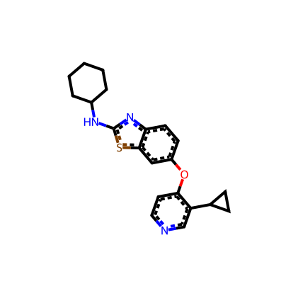 c1cc(Oc2ccc3nc(NC4CCCCC4)sc3c2)c(C2CC2)cn1